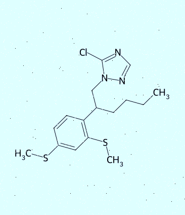 CCCCC(Cn1ncnc1Cl)c1ccc(SC)cc1SC